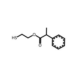 CC(C(=O)OCCS)c1ccccc1